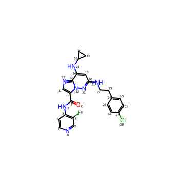 O=C(Nc1ccncc1F)c1cnc2c(NC3CC3)cc(NCCc3ccc(Cl)cc3)nn12